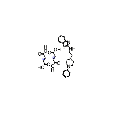 O=C(O)/C=C/C(=O)O.O=C(O)/C=C/C(=O)O.c1ccc(N2CCN(CCNc3nc4ccccc4s3)CC2)cc1